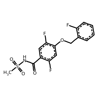 CS(=O)(=O)NC(=O)c1cc(F)c(OCc2ccccc2F)cc1F